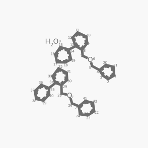 O.c1ccc(COCc2ccccc2-c2ccccc2)cc1.c1ccc(COCc2ccccc2-c2ccccc2)cc1